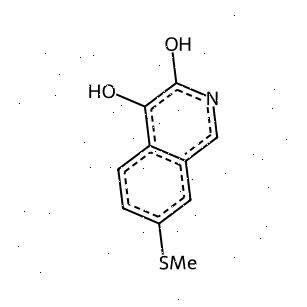 CSc1ccc2c(O)c(O)ncc2c1